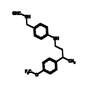 CC(CCNc1ccc(CNC=O)cc1)c1ccc(OC(F)(F)F)cc1